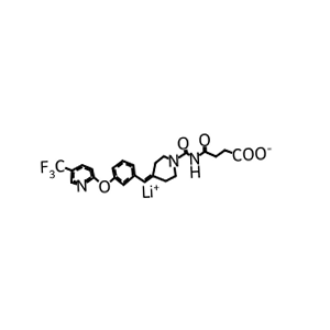 O=C([O-])CCC(=O)NC(=O)N1CCC(=Cc2cccc(Oc3ccc(C(F)(F)F)cn3)c2)CC1.[Li+]